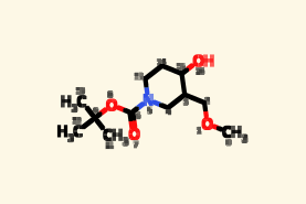 COCC1CN(C(=O)OC(C)(C)C)CCC1O